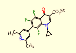 CCOC(=O)c1cn(C2CC2)c2c(F)c(-c3cc(C)nc(C)c3)c(F)c(F)c2c1=O